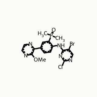 COc1nccnc1-c1ccc(Nc2nc(Cl)ncc2Br)c(P(C)(C)=O)c1